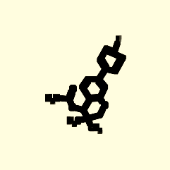 CC1(C)COc2cc(-c3ccc(F)cc3)ccc2C1OC(N)=O